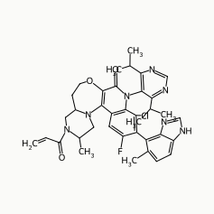 C=CC(=O)N1CC2CCOc3c(c4cc(F)c(-c5c(C)ccc6[nH]cnc56)c(Cl)c4n(-c4c(C(C)C)ncnc4C(C)C)c3=O)N2CC1C